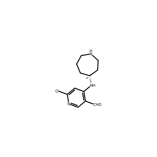 O=Cc1cnc(Cl)cc1N[C@@H]1CCCNCC1